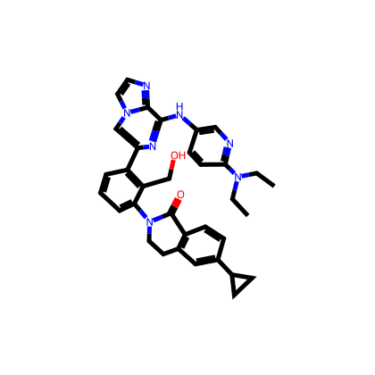 CCN(CC)c1ccc(Nc2nc(-c3cccc(N4CCc5cc(C6CC6)ccc5C4=O)c3CO)cn3ccnc23)cn1